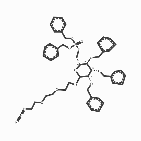 [N-]=[N+]=NCCOCCOCCOC1O[C@H](COP(=O)(OCc2ccccc2)OCc2ccccc2)[C@@H](OCc2ccccc2)[C@H](OCc2ccccc2)[C@@H]1OCc1ccccc1